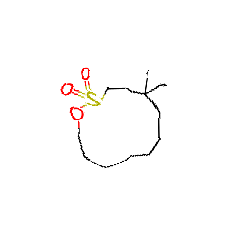 CC1(C)CCCCCCCOS(=O)(=O)CC1